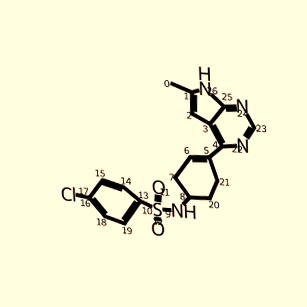 Cc1cc2c(C3=CCC(NS(=O)(=O)c4ccc(Cl)cc4)CC3)ncnc2[nH]1